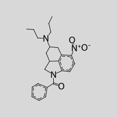 CCCN(CCC)C1Cc2c([N+](=O)[O-])ccc3c2C(C1)CN3C(=O)c1ccccc1